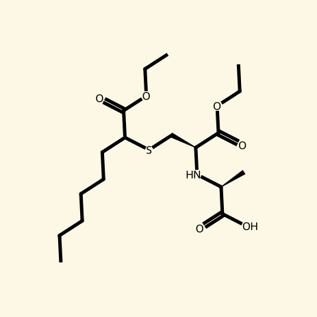 CCCCCCC(SC[C@H](N[C@@H](C)C(=O)O)C(=O)OCC)C(=O)OCC